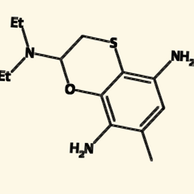 CCN(CC)C1CSc2c(N)cc(C)c(N)c2O1